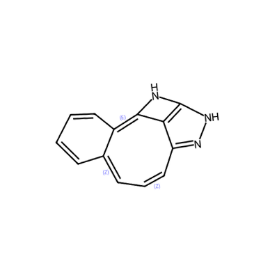 C1=C\c2n[nH]c3c2/C(=c2/cccc/c2=C/1)N3